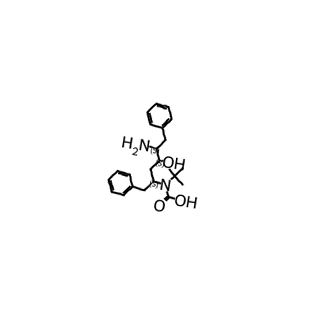 CC(C)(C)N(C(=O)O)[C@@H](Cc1ccccc1)C[C@H](O)[C@@H](N)Cc1ccccc1